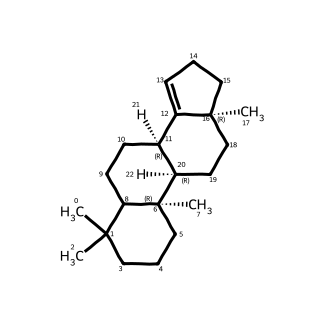 CC1(C)CCC[C@@]2(C)C1CC[C@H]1C3=CCC[C@@]3(C)CC[C@H]12